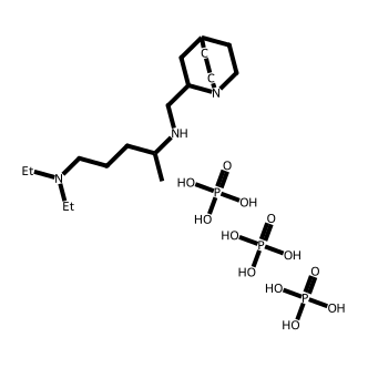 CCN(CC)CCCC(C)NCC1CC2CCN1CC2.O=P(O)(O)O.O=P(O)(O)O.O=P(O)(O)O